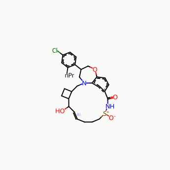 CCCc1cc(Cl)ccc1C1COc2ccc3cc2N(C1)CC1CCC1C(O)/C=C/CCC[S+]([O-])NC3=O